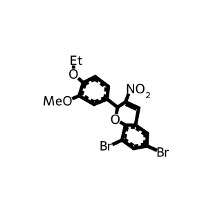 CCOc1ccc(C2Oc3c(Br)cc(Br)cc3C=C2[N+](=O)[O-])cc1OC